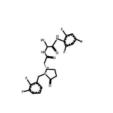 CC(C)C(NC(=O)C[C@@H]1CCC(=O)N1Cc1cccc(F)c1F)C(=O)Nc1c(F)cc(F)cc1F